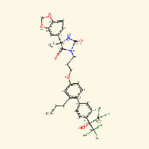 CCCc1cc(OCCCN2C(=O)NC(C)(c3ccc4c(c3)OCO4)C2=O)ccc1-c1ccc(C(O)(C(F)(F)F)C(F)(F)F)cc1